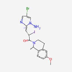 COc1ccc2c(c1)CCN(C(=O)C(I)/C=C1/N=CC(Br)=CN1N)C2C